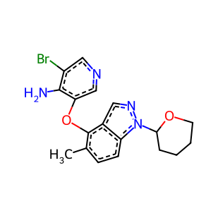 Cc1ccc2c(cnn2C2CCCCO2)c1Oc1cncc(Br)c1N